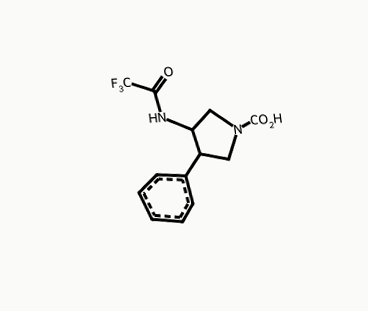 O=C(O)N1CC(NC(=O)C(F)(F)F)C(c2ccccc2)C1